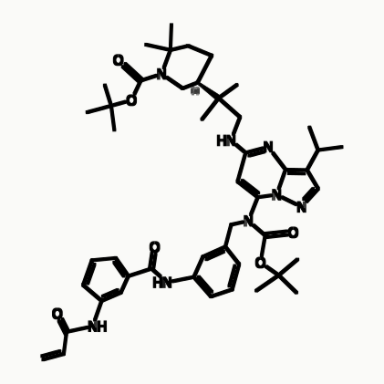 C=CC(=O)Nc1cccc(C(=O)Nc2cccc(CN(C(=O)OC(C)(C)C)c3cc(NCC(C)(C)[C@@H]4CCC(C)(C)N(C(=O)OC(C)(C)C)C4)nc4c(C(C)C)cnn34)c2)c1